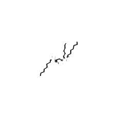 CCCCCCCCN(C)C(=O)CC(=O)[N+](C)(CCCCCC)CCCCCCCC